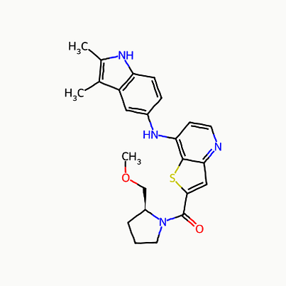 COC[C@@H]1CCCN1C(=O)c1cc2nccc(Nc3ccc4[nH]c(C)c(C)c4c3)c2s1